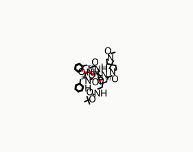 CC(=O)N1CCC2(CCN(C(=O)[C@@H](CCCCNC(=O)OC(C)(C)C)NC(=O)[C@@H](CC(C)C)NC(=O)[C@@H](Cc3ccccc3)NC(=O)[C@@H](Cc3ccccc3)NC(=O)OC(C)(C)C)C2)C1